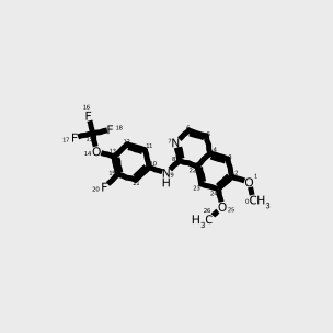 COc1cc2ccnc(Nc3ccc(OC(F)(F)F)c(F)c3)c2cc1OC